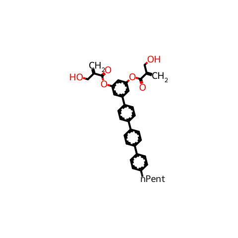 C=C(CO)C(=O)Oc1cc(OC(=O)C(=C)CO)cc(-c2ccc(-c3ccc(-c4ccc(CCCCC)cc4)cc3)cc2)c1